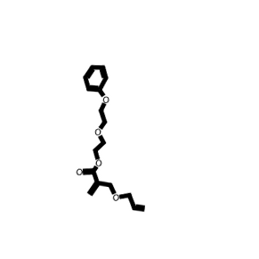 C=CCOCC(=C)C(=O)OCCOCCOc1ccccc1